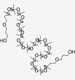 C[Si](C)(CCOCCCO)O[Si](C)(C)O[Si](C)(C)O[Si](C)(C)O[Si](C)(C)O[Si](C)(C)O[Si](C)(C)O[Si](C)(C)O[Si](C)(C)O[Si](C)(C)O[Si](C)(C)O[Si](C)(C)O[Si](C)(C)O[Si](C)(C)O[Si](C)(C)O[Si](C)(C)O[Si](C)(C)CCOCCCO